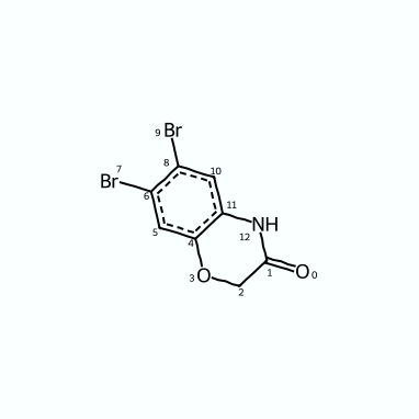 O=C1COc2cc(Br)c(Br)cc2N1